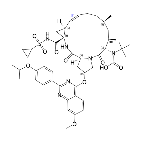 COc1ccc2c(O[C@@H]3C[C@H]4C(=O)N[C@]5(C(=O)NS(=O)(=O)C6CC6)C[C@H]5/C=C\CC[C@@H](C)C[C@@H](C)[C@H](N(C(=O)O)C(C)(C)C)C(=O)N4C3)nc(-c3ccc(OC(C)C)cc3)nc2c1